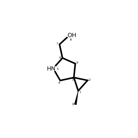 C[C@@H]1CC12CNC(CO)C2